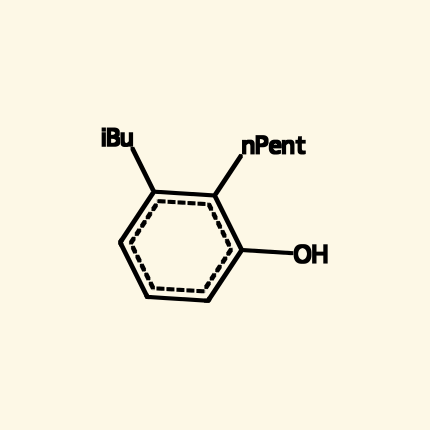 CCCCCc1c(O)cccc1C(C)CC